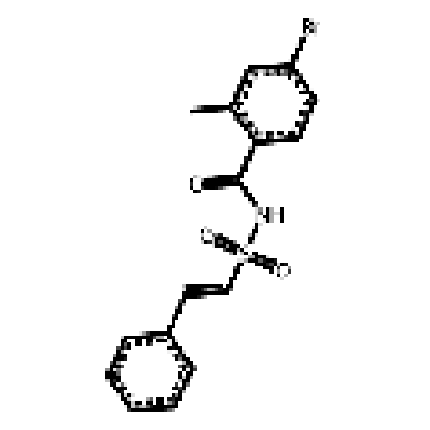 Cc1cc(Br)ccc1C(=O)NS(=O)(=O)C=Cc1ccccc1